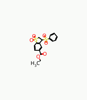 CCOC(=O)c1ccc2c(c1)C(S(=O)(=O)c1ccccc1)CS2(=O)=O